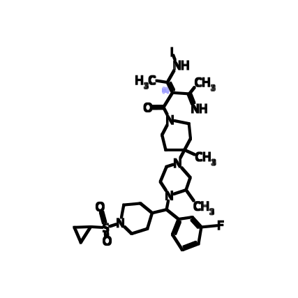 CC(=N)/C(C(=O)N1CCC(C)(N2CCN(C(c3cccc(F)c3)C3CCN(S(=O)(=O)C4CC4)CC3)C(C)C2)CC1)=C(/C)NI